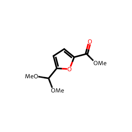 COC(=O)c1ccc(C(OC)OC)o1